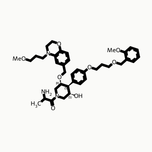 COCCCN1CCOc2ccc(CO[C@H]3CN(C(=O)C(C)N)C[C@@H](O)[C@@H]3c3ccc(OCCCOCc4ccccc4OC)cc3)cc21